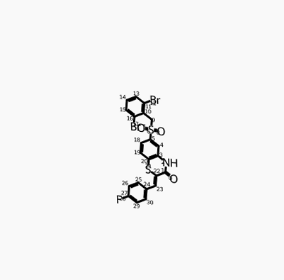 O=C1Nc2cc(S(=O)(=O)Cc3c(Br)cccc3Br)ccc2SC1=Cc1ccc(F)cc1